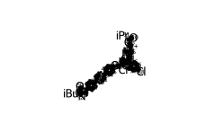 CCC(C)n1ncn(-c2ccc(N3CCN(c4ccc(OCC5COC(Cn6c[n+](COC(=O)C(C)C)cn6)(c6ccc(Cl)cc6Cl)O5)cc4)CC3)cc2)c1=O